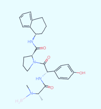 BN(C)[C@@H](C)C(=O)N[C@H](C(=O)N1CCC[C@H]1C(=O)N[C@@H]1CCCc2ccccc21)c1ccc(O)cc1